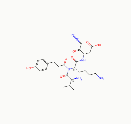 CC(C)[C@H](N)C(=O)N(C(=O)CCc1ccc(O)cc1)[C@@H](CCCCN)C(=O)NC(CC(=O)O)C(=O)C=[N+]=[N-]